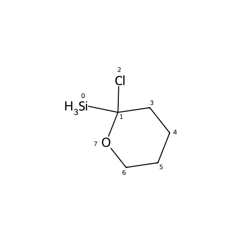 [SiH3]C1(Cl)CCCCO1